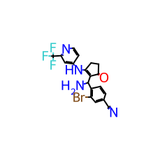 N#Cc1ccc(C(N)C2=C(Nc3ccnc(C(F)(F)F)c3)CCC2=O)c(Br)c1